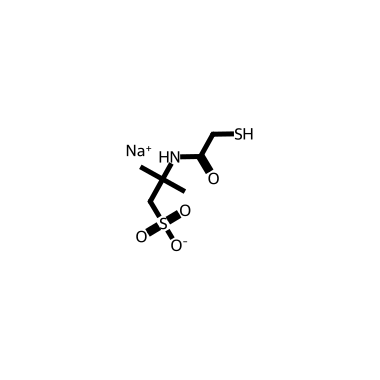 CC(C)(CS(=O)(=O)[O-])NC(=O)CS.[Na+]